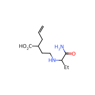 C=CCC(CCNC(CC)C(N)=O)C(=O)O